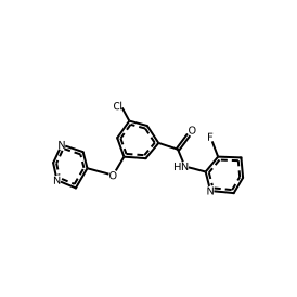 O=C(Nc1ncccc1F)c1cc(Cl)cc(Oc2cncnc2)c1